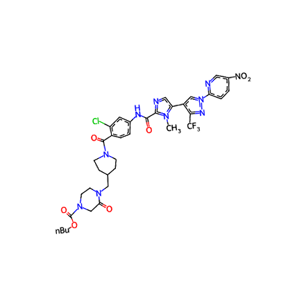 CCCCOC(=O)N1CCN(CC2CCN(C(=O)c3ccc(NC(=O)c4ncc(-c5cn(-c6ccc([N+](=O)[O-])cn6)nc5C(F)(F)F)n4C)cc3Cl)CC2)C(=O)C1